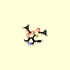 C#Cc1cnc(C)c(OC(=O)C2CC2)c1CSC(=O)C1CC1